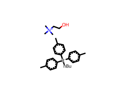 CCCC[B-](c1ccc(C)cc1)(c1ccc(C)cc1)c1ccc(C)cc1.C[N+](C)(C)CCO